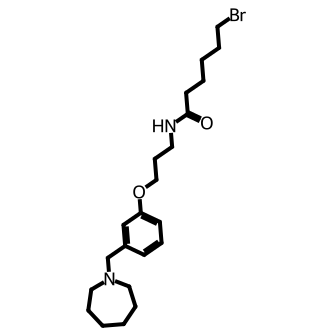 O=C(CCCCCBr)NCCCOc1cccc(CN2CCCCCC2)c1